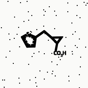 O=C(O)C1CC1Cc1cccs1